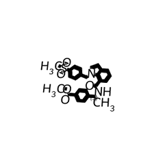 COC(=O)c1ccc([C@H](C)NC(=O)c2cccc3ccn(Cc4ccc(S(C)(=O)=O)cc4)c23)cc1